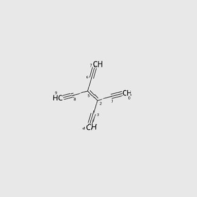 C#CC(C#C)=C(C#C)C#C